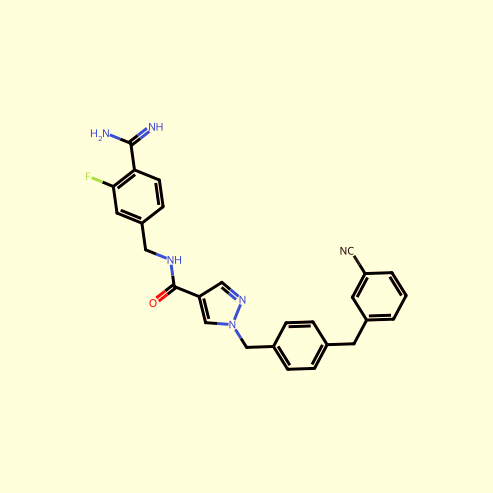 N#Cc1cccc(Cc2ccc(Cn3cc(C(=O)NCc4ccc(C(=N)N)c(F)c4)cn3)cc2)c1